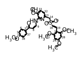 COc1ccc(C(=O)/C=C\Nc2nc(CS(=O)(=O)/C=C/c3c(OC)cc(OC)cc3OC)ccc2OC)cc1